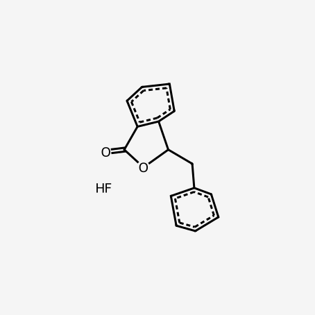 F.O=C1OC(Cc2ccccc2)c2ccccc21